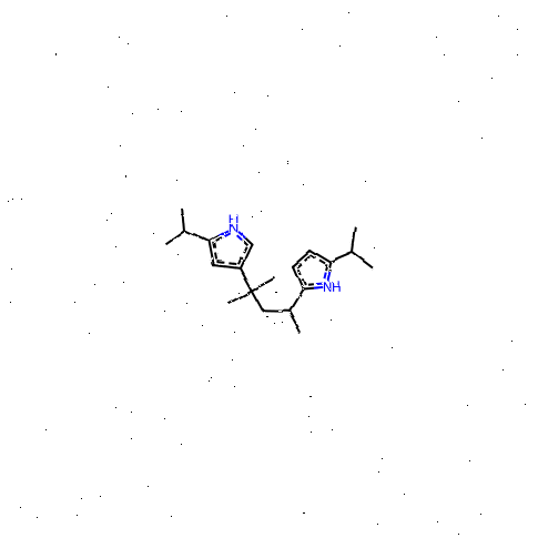 CC(C)c1cc(C(C)(C)CC(C)c2ccc(C(C)C)[nH]2)c[nH]1